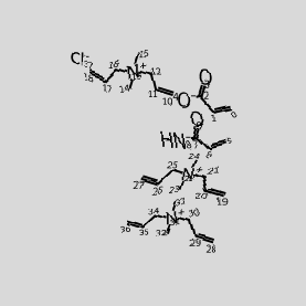 C=CC(=O)[O-].C=CC([NH-])=O.C=CC[N+](C)(C)CC=C.C=CC[N+](C)(C)CC=C.C=CC[N+](C)(C)CC=C.[Cl-]